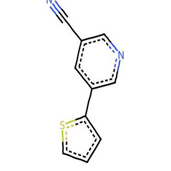 N#Cc1cncc(-c2cccs2)c1